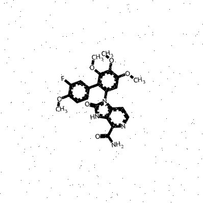 COc1ccc(-c2c(-n3c(=O)[nH]c4c(C(N)=O)nccc43)cc(OC)c(OC)c2OC)cc1F